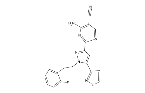 N#Cc1cnc(-c2cc(-c3ccon3)n(CCc3ccccc3F)n2)nc1N